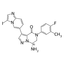 Cc1cc(N2C[C@H](N)n3ncc(-c4ccc5ncc(I)n5c4)c3C2=O)ccc1F